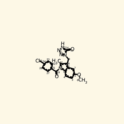 COc1ccc2c(c1)c(Cn1nn[nH]c1=O)c(C)n2C(=O)c1ccc(Cl)cc1